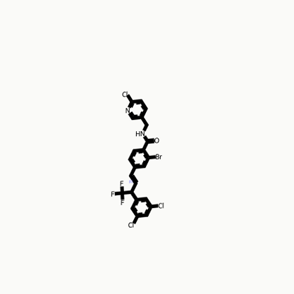 O=C(NCc1ccc(Cl)nc1)c1ccc(/C=C/C(c2cc(Cl)cc(Cl)c2)C(F)(F)F)cc1Br